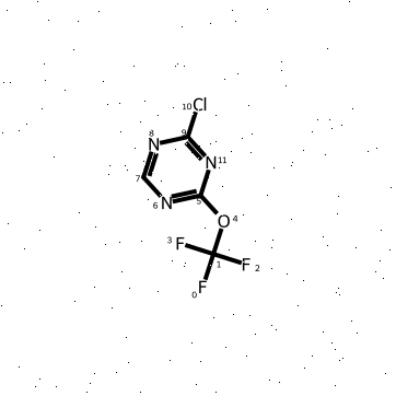 FC(F)(F)Oc1ncnc(Cl)n1